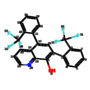 Oc1c(-c2ccccc2C(F)(F)F)cc(-c2ccccc2C(F)(F)F)c2cccnc12